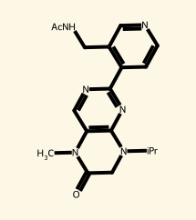 CC(=O)NCc1cnccc1-c1ncc2c(n1)N(C(C)C)CC(=O)N2C